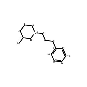 CC1CCCN(CCCc2ccccc2)C1